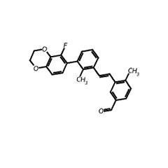 Cc1ccc(C=O)cc1/C=C/c1cccc(-c2ccc3c(c2F)OCCO3)c1C